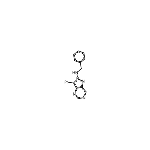 CC(C)c1c2ncncc2nn1NCc1ccccc1